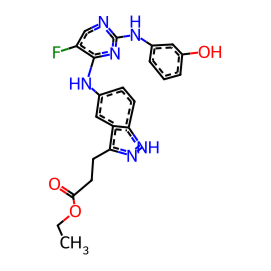 CCOC(=O)CCc1n[nH]c2ccc(Nc3nc(Nc4cccc(O)c4)ncc3F)cc12